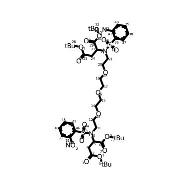 CC(C)(C)OC(=O)CC(C(=O)OC(C)(C)C)N(CCOCCOCCOCCN(C(CC(=O)OC(C)(C)C)C(=O)OC(C)(C)C)S(=O)(=O)c1ccccc1[N+](=O)[O-])S(=O)(=O)c1ccccc1[N+](=O)[O-]